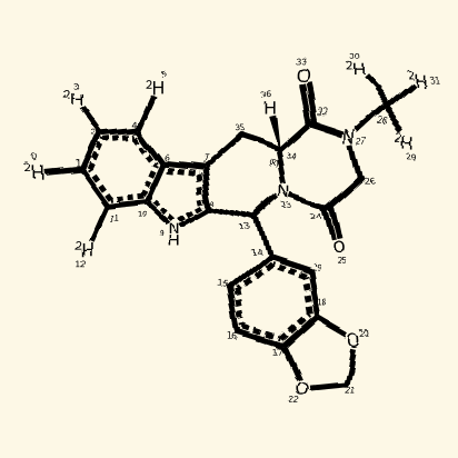 [2H]c1c([2H])c([2H])c2c3c([nH]c2c1[2H])C(c1ccc2c(c1)OCO2)N1C(=O)CN(C([2H])([2H])[2H])C(=O)[C@H]1C3